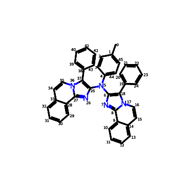 Cc1ccc(N(c2nc3c4ccccc4ccn3c2-c2ccccc2)c2nc3c4ccccc4ccn3c2-c2ccccc2)cc1